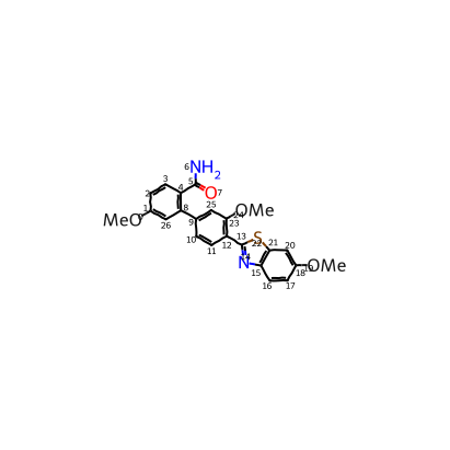 COc1ccc(C(N)=O)c(-c2ccc(-c3nc4ccc(OC)cc4s3)c(OC)c2)c1